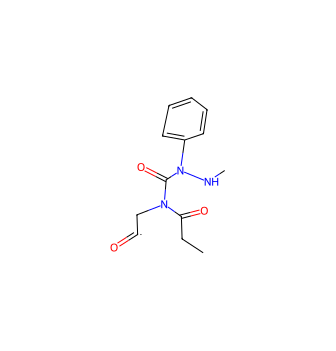 CCC(=O)N(C[C]=O)C(=O)N(NC)c1ccccc1